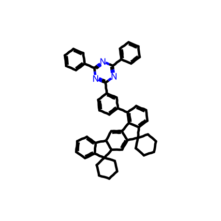 C1=C2C(=CC3C1c1ccccc1C31CCCCC1)C1(CCCCC1)c1cccc(-c3cccc(-c4nc(-c5ccccc5)nc(-c5ccccc5)n4)c3)c12